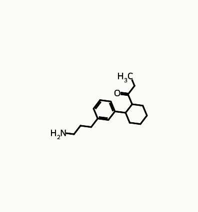 CCC(=O)C1CCCCC1c1cccc(CCCN)c1